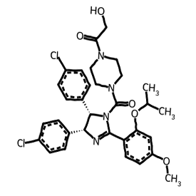 COc1ccc(C2=N[C@H](c3ccc(Cl)cc3)[C@H](c3ccc(Cl)cc3)N2C(=O)N2CCN(C(=O)CO)CC2)c(OC(C)C)c1